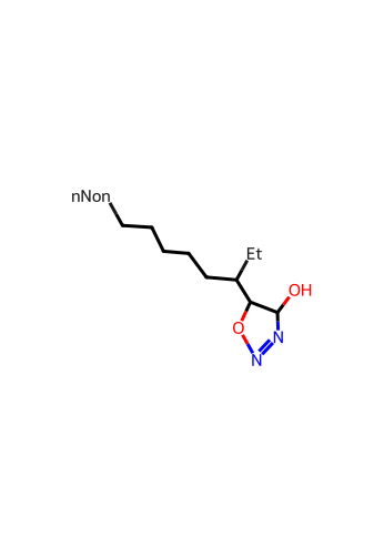 CCCCCCCCCCCCCCC(CC)C1ON=NC1O